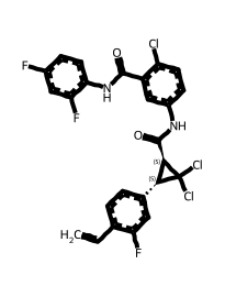 C=Cc1ccc([C@@H]2[C@@H](C(=O)Nc3ccc(Cl)c(C(=O)Nc4ccc(F)cc4F)c3)C2(Cl)Cl)cc1F